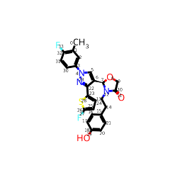 Cc1cc(-n2cc([C@H]3OCC(=O)N3CCc3ccc(O)cc3)c(-c3ccc(F)s3)n2)ccc1F